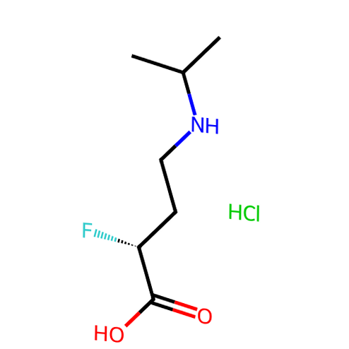 CC(C)NCC[C@@H](F)C(=O)O.Cl